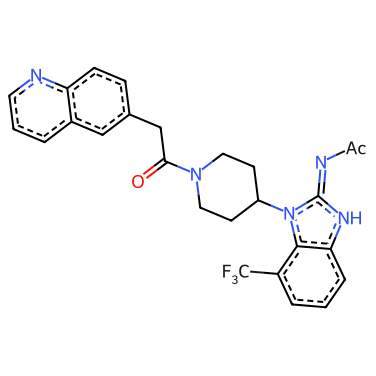 CC(=O)/N=c1\[nH]c2cccc(C(F)(F)F)c2n1C1CCN(C(=O)Cc2ccc3ncccc3c2)CC1